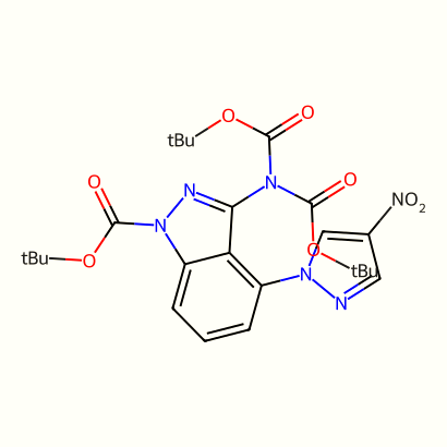 CC(C)(C)OC(=O)N(C(=O)OC(C)(C)C)c1nn(C(=O)OC(C)(C)C)c2cccc(-n3cc([N+](=O)[O-])cn3)c12